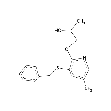 CC(O)COc1ncc(C(F)(F)F)cc1SCc1ccccc1